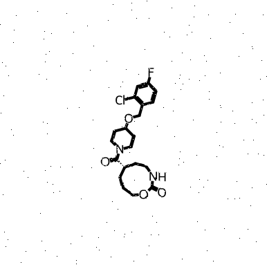 O=C1NCC[C@@H](C(=O)N2CCC(OCc3ccc(F)cc3Cl)CC2)CCCO1